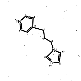 [CH](Cc1ccncc1)Cn1ccnc1